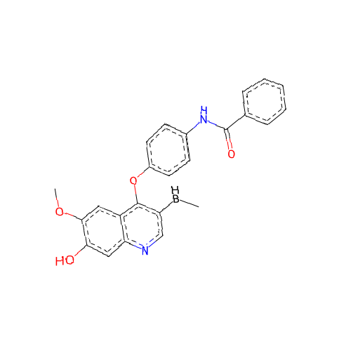 CBc1cnc2cc(O)c(OC)cc2c1Oc1ccc(NC(=O)c2ccccc2)cc1